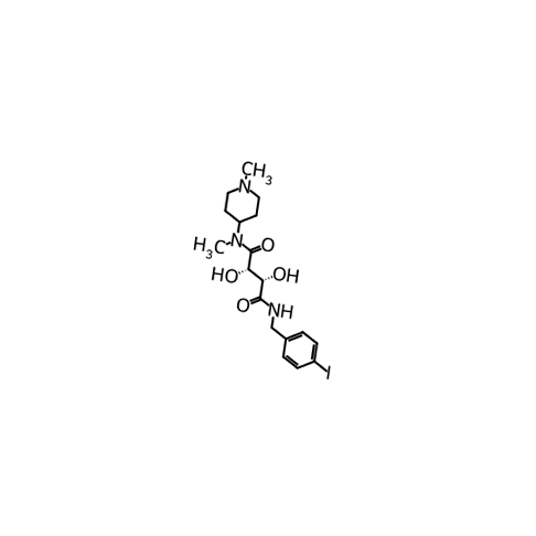 CN1CCC(N(C)C(=O)[C@@H](O)[C@H](O)C(=O)NCc2ccc(I)cc2)CC1